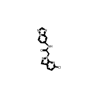 O=C(Cn1ncc2ccc(Cl)nc21)Nc1ccn2ncnc2c1